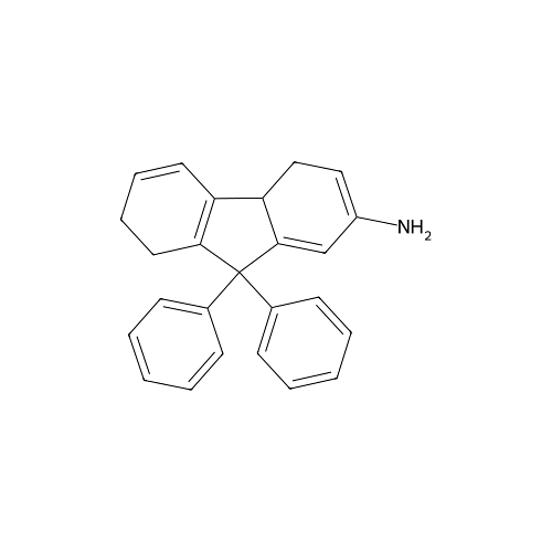 NC1=CCC2C(=C1)C(c1ccccc1)(c1ccccc1)C1=C2C=CCC1